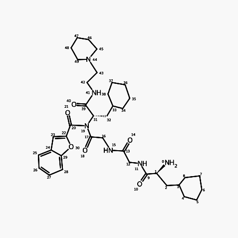 N[C@@H](CC1CCCCC1)C(=O)NCC(=O)NCC(=O)N(C(=O)c1cc2ccccc2o1)[C@@H](CC1CCCCC1)C(=O)NCCN1CCCCC1